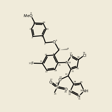 COc1ccc(CO[C@H](C)c2cc(F)ccc2-n2nc(Cl)cc2C(OS(C)(=O)=O)c2c[nH]nn2)cc1